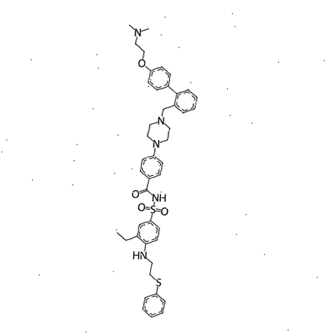 CCc1cc(S(=O)(=O)NC(=O)c2ccc(N3CCN(Cc4ccccc4-c4ccc(OCCN(C)C)cc4)CC3)cc2)ccc1NCCSc1ccccc1